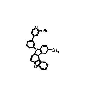 CCCCc1cc(C2=CCCC(N3C4=C(CC(C)C=C4)C4c5c(oc6ccccc56)C=CC43)=C2)ccn1